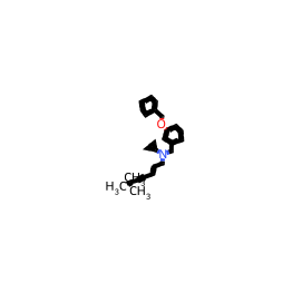 CC(C)(C)C#CC=CCN(Cc1cccc(OCc2ccccc2)c1)C1CC1